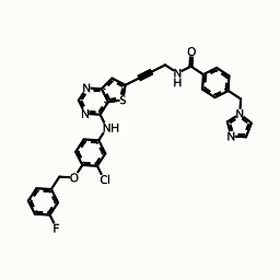 O=C(NCC#Cc1cc2ncnc(Nc3ccc(OCc4cccc(F)c4)c(Cl)c3)c2s1)c1ccc(Cn2ccnc2)cc1